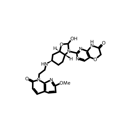 COc1ccc2ccc(=O)n(CCN[C@@H]3CC[C@@H]4[C@@H](C3)OC(O)N4c3ncc4c(n3)NC(=O)CO4)c2n1